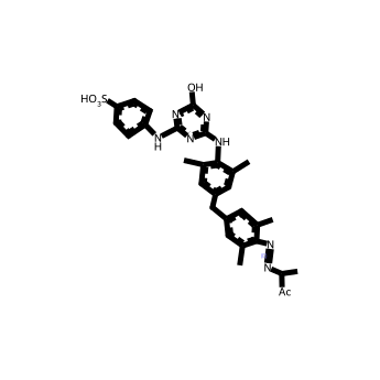 CC(=O)C(C)/N=N/c1c(C)cc(Cc2cc(C)c(Nc3nc(O)nc(Nc4ccc(S(=O)(=O)O)cc4)n3)c(C)c2)cc1C